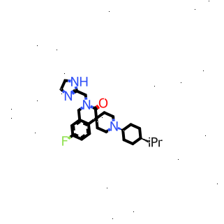 CC(C)[C@H]1CC[C@@H](N2CCC3(CC2)C(=O)N(CC2=NCCN2)Cc2cc(F)ccc23)CC1